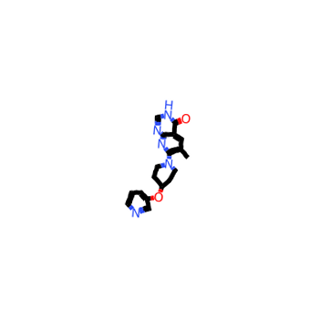 Cc1cc2c(=O)[nH]cnc2nc1N1CCC(Oc2cccnc2)CC1